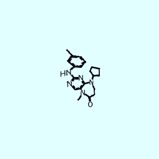 Cc1cccc(Nc2ncc3c(n2)N(C2CCCC2)CCC(=O)N3C)c1